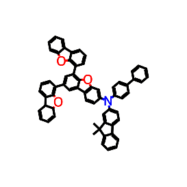 CC1(C)c2ccccc2-c2ccc(N(c3ccc(-c4ccccc4)cc3)c3ccc4c(c3)oc3c(-c5cccc6c5oc5ccccc56)cc(-c5cccc6c5OC5C=CC=CC65)cc34)cc21